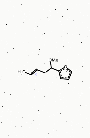 C/C=C/CC(OC)c1ccco1